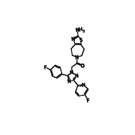 Nc1nc2c(s1)CCN(C(=O)Cn1nc(-c3ccc(F)cn3)nc1-c1ccc(F)cc1)CC2